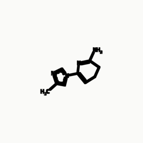 Cc1cn(C2=CCCC(N)=N2)cn1